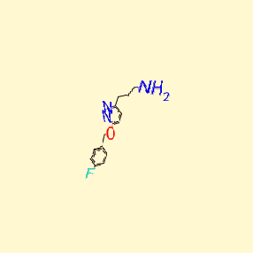 NCCCc1ccc(OCc2ccc(F)cc2)nn1